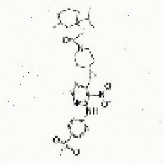 CC1CCCC(OC(=O)N2CCC(Oc3ncnc(Nc4ccc(S(C)(=O)=O)cc4)c3[N+](=O)[O-])CC2)(C(C)C)C1